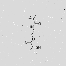 CC(C)C(=O)NCCOC(=O)C(C)S